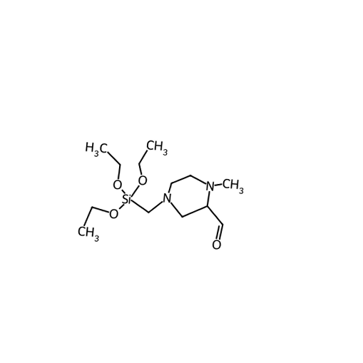 CCO[Si](CN1CCN(C)C(C=O)C1)(OCC)OCC